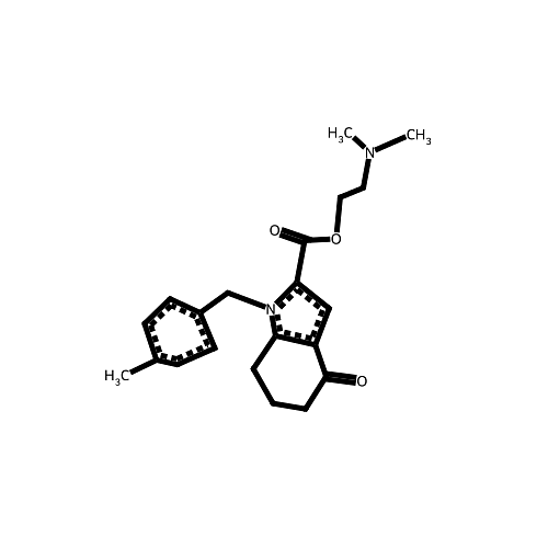 Cc1ccc(Cn2c(C(=O)OCCN(C)C)cc3c2CCCC3=O)cc1